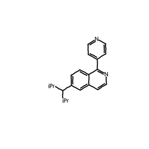 CC(C)C(c1ccc2c(-c3ccncc3)nccc2c1)C(C)C